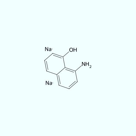 Nc1cccc2cccc(O)c12.[Na].[Na]